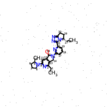 CCc1nc(N2CCC[C@H]2C)cc2c1CN(c1cccc(-c3nnc4n3[C@@H](CC)CC4)n1)C2=O